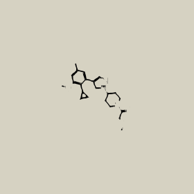 COCC(=O)N1CCC(N2CC(c3cc(C)cc(OC)c3C3CC3)=CN2)CC1